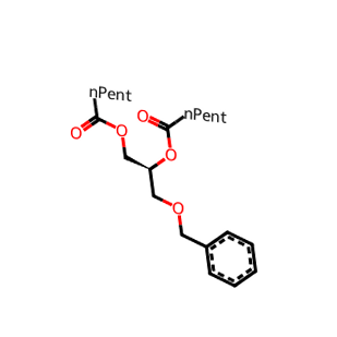 CCCCCC(=O)OC[C@H](COCc1ccccc1)OC(=O)CCCCC